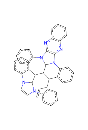 C=CCC1c2ccccc2N2c3nc4ccccc4nc3N(c3ccccc3)C2C1C1c2ccccc2N2C=CN(c3ccccc3)C12